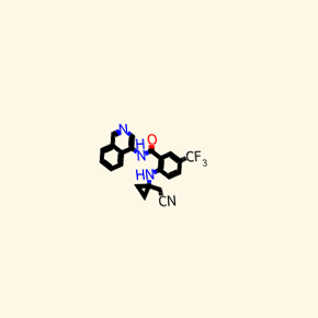 N#CCC1(Nc2ccc(C(F)(F)F)cc2C(=O)Nc2cncc3ccccc23)CC1